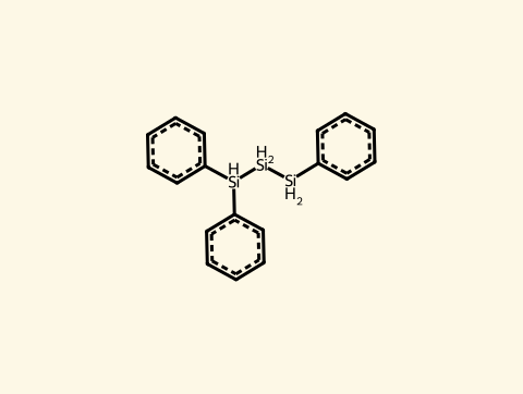 c1ccc([SiH2][SiH2][SiH](c2ccccc2)c2ccccc2)cc1